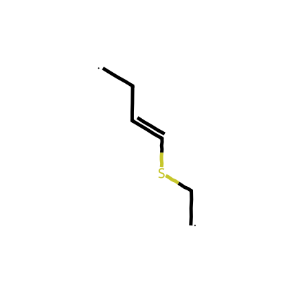 [CH2]CC=CSC[CH2]